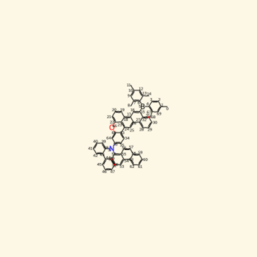 Cc1ccc(B(c2c(C)cc(C)cc2C)c2cc3c4cccc5c4c(cc3c3ccccc23)-c2ccc(N(c3ccccc3-c3ccccc3)c3cccc4c3ccc3ccccc34)cc2O5)c(C)c1